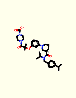 CC(C)c1ccc(CN(C(=O)[C@@H]2CCCN(c3cccc(OC(C)(C)C(=O)N4CCN(C(=O)O)CC4)c3)C2)C(C)C)cc1